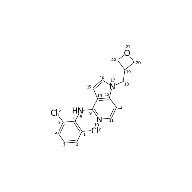 Clc1cccc(Cl)c1Nc1nccc2c1ccn2CC1COC1